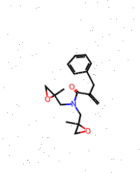 C=C(Cc1ccccc1)C(=O)N(CC1(C)CO1)CC1(C)CO1